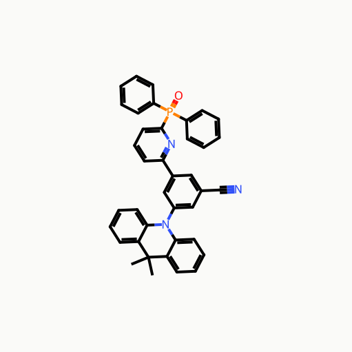 CC1(C)c2ccccc2N(c2cc(C#N)cc(-c3cccc(P(=O)(c4ccccc4)c4ccccc4)n3)c2)c2ccccc21